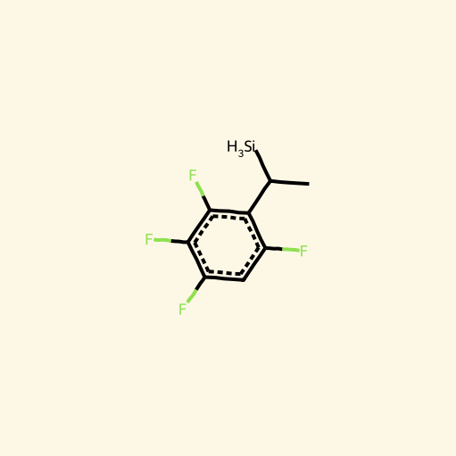 CC([SiH3])c1c(F)cc(F)c(F)c1F